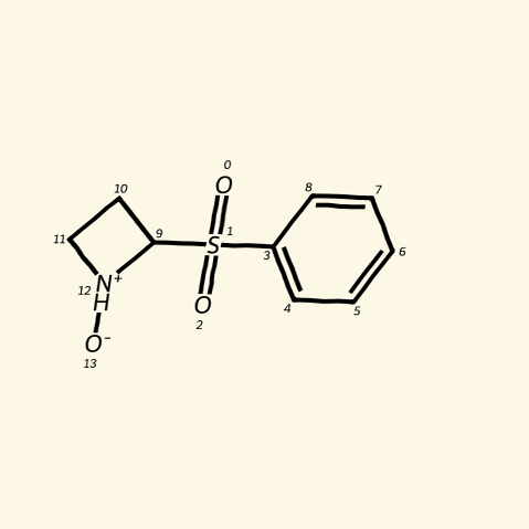 O=S(=O)(c1ccccc1)C1CC[NH+]1[O-]